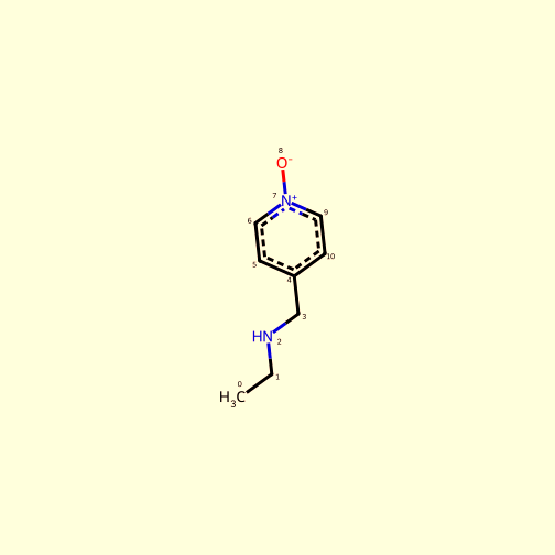 CCNCc1cc[n+]([O-])cc1